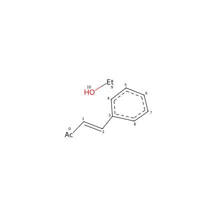 CC(=O)C=Cc1ccccc1.CCO